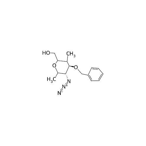 CC1OC(CO)C(C)[C@@H](OCc2ccccc2)[C@@H]1N=[N+]=[N-]